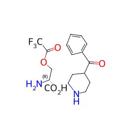 N[C@H](COC(=O)C(F)(F)F)C(=O)O.O=C(c1ccccc1)C1CCNCC1